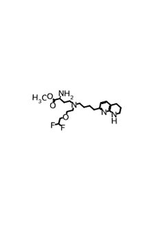 COC(=O)[C@@H](N)CCN(CCCCc1ccc2c(n1)NCCC2)CCOCC(F)F